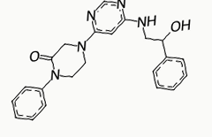 O=C1CN(c2cc(NCC(O)c3ccccc3)ncn2)CCN1c1ccccc1